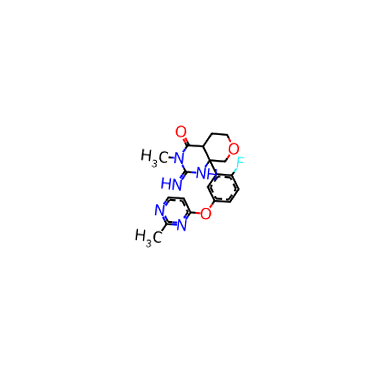 Cc1nccc(Oc2ccc(F)c(C34COCCC3C(=O)N(C)C(=N)N4)c2)n1